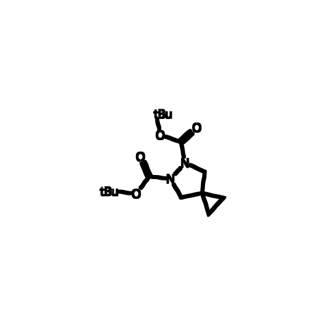 CC(C)(C)OC(=O)N1CC2(CC2)CN1C(=O)OC(C)(C)C